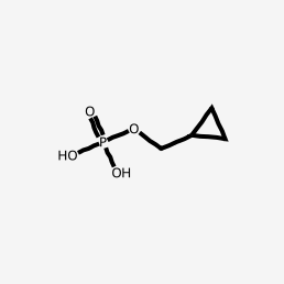 O=P(O)(O)OC[C]1CC1